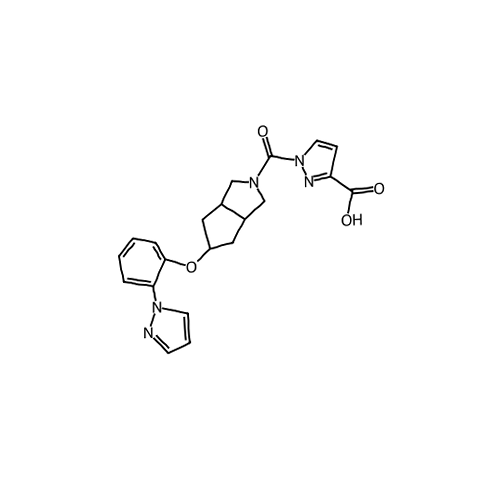 O=C(O)c1ccn(C(=O)N2CC3CC(Oc4ccccc4-n4cccn4)CC3C2)n1